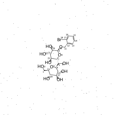 OC[C@H]1O[C@@H](C(O)[C@H]2O[C@H](OCc3ccccc3Br)[C@H](O)[C@@H](O)[C@@H]2O)[C@H](O)[C@@H](O)[C@@H]1O